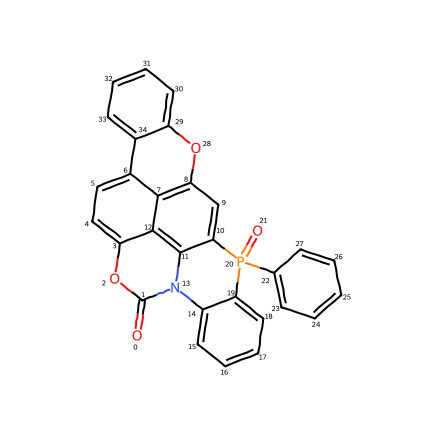 O=C1Oc2ccc3c4c(cc5c(c24)N1c1ccccc1P5(=O)c1ccccc1)Oc1ccccc1-3